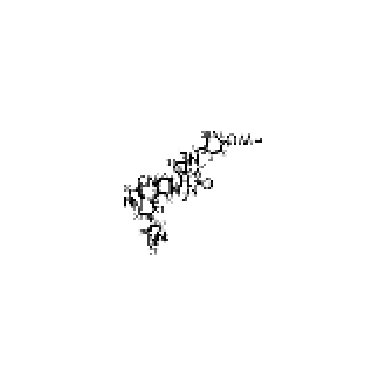 COc1ccc(CN2C[C@@H](C(N)=O)[C@H]3[C@@H]2CN3c2ccc(-c3cc(-c4cnn(C)c4)cn4ncc(C#N)c34)cn2)cn1